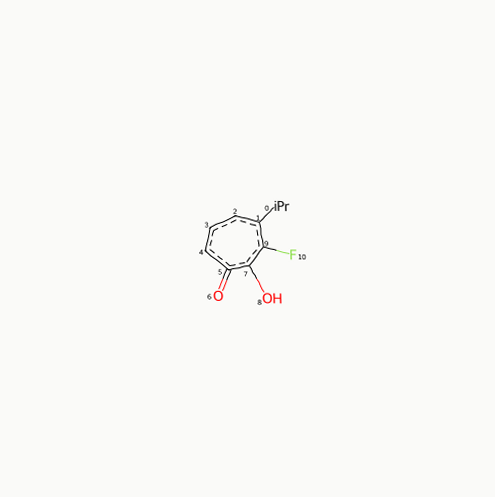 CC(C)c1cccc(=O)c(O)c1F